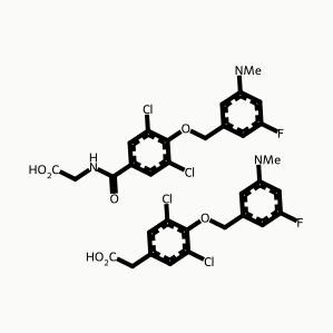 CNc1cc(F)cc(COc2c(Cl)cc(C(=O)NCC(=O)O)cc2Cl)c1.CNc1cc(F)cc(COc2c(Cl)cc(CC(=O)O)cc2Cl)c1